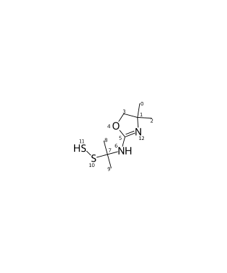 CC1(C)COC(NC(C)(C)SS)=N1